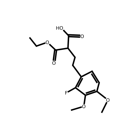 CCOC(=O)C(CCc1ccc(OC)c(OC)c1F)C(=O)O